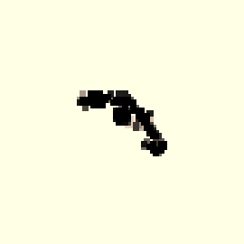 CC(F)(F)c1ccc(CSc2nnc(CCCCC(=O)NCCCN3CCCC3=O)n2-c2cccc(Cl)c2)cc1